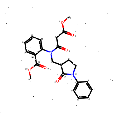 COC(=O)CC(=O)N(CC1CCN(c2ccccc2)C1=O)c1ccccc1C(=O)OC